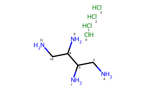 Cl.Cl.Cl.Cl.NCC(N)C(N)CN